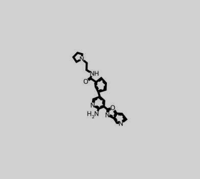 Nc1ncc(-c2cccc(C(=O)NCCN3CCCC3)c2)cc1-c1nc2cnccc2o1